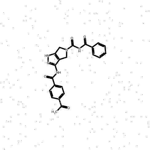 CC(=O)c1ccc(C(=O)Nc2n[nH]c3c2CN(C(=O)NC(=O)c2ccccc2)C3)cc1